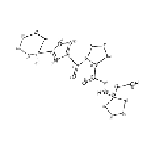 CC1(c2nc(C(=O)C3CCCN3C(=O)CNC3(CO)CCCC3)no2)CCCCC1